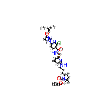 CC(C)C(COc1ccn(-c2ccc(C(=O)NSc3cccc(NCCCC4CCC(C)(C)N4C(=O)OC(C)(C)C)n3)c(Cl)n2)n1)C(C)C